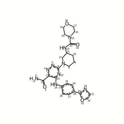 NC(=O)c1nnc(N2CCCC(NC(=O)N3CCOCC3)C2)nc1Nc1ccc(-c2ncco2)cc1